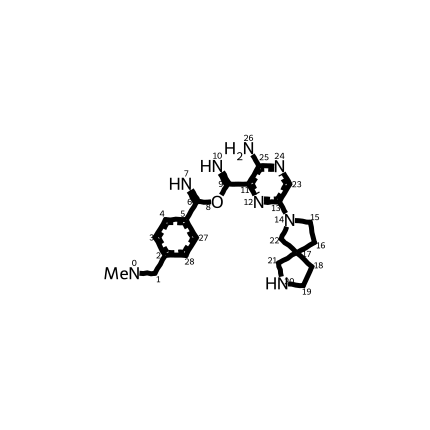 CNCc1ccc(C(=N)OC(=N)c2nc(N3CCC4(CCNC4)C3)cnc2N)cc1